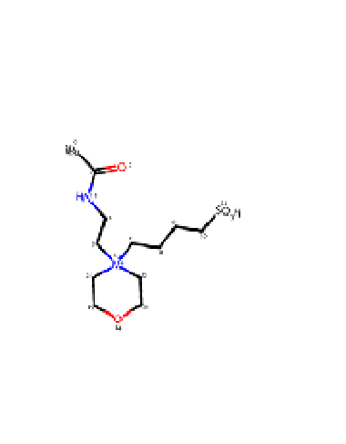 CCC(C)C(=O)NCC[N+]1(CCCCS(=O)(=O)O)CCOCC1